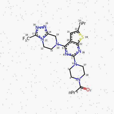 CCCC(=O)N1CCN(c2nc(N3CCn4c(nnc4C(F)(F)F)C3)c3cc(CCC)sc3n2)CC1